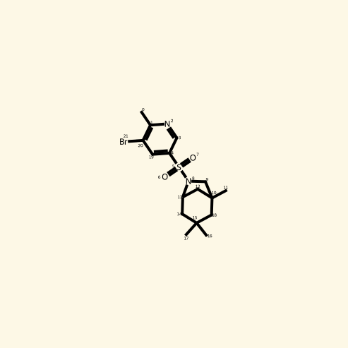 Cc1ncc(S(=O)(=O)N2CC3(C)CC2CC(C)(C)C3)cc1Br